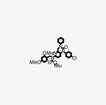 COc1ccc(CN(C(=O)OC(C)(C)C)c2ccc3c(n2)CN(c2ccccc2)C(=O)N3c2ccc(Cl)cc2)c(OC)c1